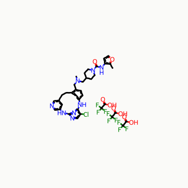 Cc1occc1NC(=O)N1CCC(CN(C)Cc2ccc3cc2CCc2cncc(c2)Nc2ncc(Cl)c(n2)N3)CC1.O=C(O)C(F)(F)F.O=C(O)C(F)(F)F.O=C(O)C(F)(F)F